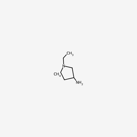 C.CCN1CCC(N)C1